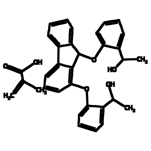 C=C(C)C(=O)O.CC(O)c1ccccc1Oc1cccc2c1C(Oc1ccccc1C(C)O)c1ccccc1-2